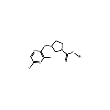 CC(C)(C)OC(=O)N1CCC(Oc2ncc(Br)nc2I)C1